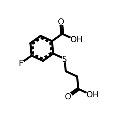 O=C(O)CCSc1cc(F)ccc1C(=O)O